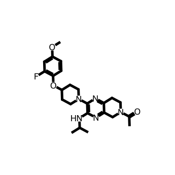 COc1ccc(OC2CCN(c3nc4c(nc3NC(C)C)CN(C(C)=O)CC4)CC2)c(F)c1